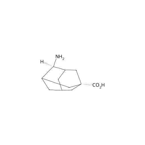 N[C@H]1C2CC3CC1C[C@](C(=O)O)(C3)C2